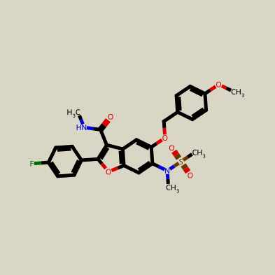 CNC(=O)c1c(-c2ccc(F)cc2)oc2cc(N(C)S(C)(=O)=O)c(OCc3ccc(OC)cc3)cc12